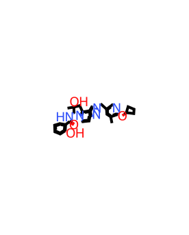 Cc1cc(Cn2cc3c(CC(C)(O)CNC(=O)c4ccccc4O)nccc3n2)cnc1OC1CCC1